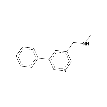 CNCc1cncc(-c2ccccc2)c1